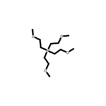 COCC[N+](CCOC)(CCOC)CCOC